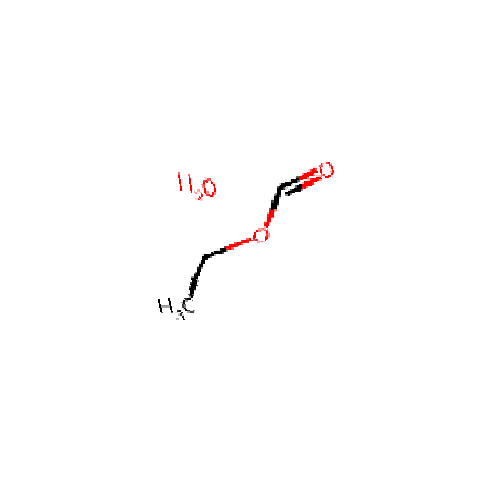 CCOC=O.O